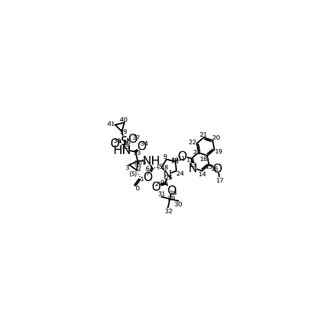 C=C[C@@H]1C[C@]1(NC(=O)[C@@H]1C[C@@H](Oc2ncc(OC)c3ccccc23)CN1C(=O)OC(C)(C)C)C(=O)NS(=O)(=O)C1CC1